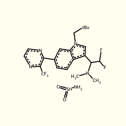 CN(C)C(c1cn(CC(C)(C)C)c2cc(-c3nccnc3C(F)(F)F)ccc12)C(F)F.N[SH](=O)=O